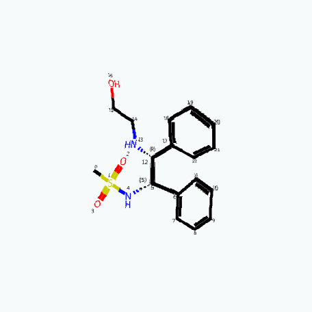 CS(=O)(=O)N[C@@H](c1ccccc1)[C@H](NCCO)c1ccccc1